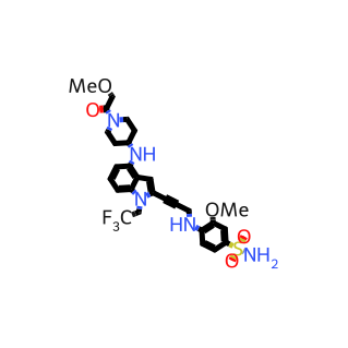 COCC(=O)N1CCC(Nc2cccc3c2cc(C#CCNc2ccc(S(N)(=O)=O)cc2OC)n3CC(F)(F)F)CC1